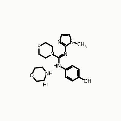 C1COCCN1.Cn1ccnc1N=C(Nc1ccc(O)cc1)N1CCSCC1.I